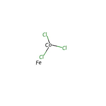 [Cl][Co]([Cl])[Cl].[Fe]